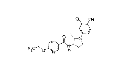 C[C@H]1[C@H](NC(=O)c2ccc(OCC(F)(F)F)nc2)CCN1c1ccc(C#N)c(Cl)c1